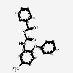 O=C(NC(=S)Nc1cc(C(F)(F)F)ccc1Oc1ccccc1)c1ccccc1